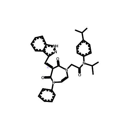 CC(C)c1ccc(N(C(=O)CN2C=CN(c3ccccc3)C(=O)/C(=C/c3n[nH]c4ccccc34)C2=O)C(C)C)cc1